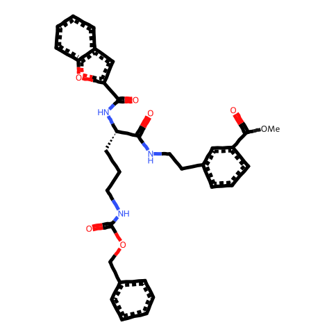 COC(=O)c1cccc(CCNC(=O)[C@H](CCCNC(=O)OCc2ccccc2)NC(=O)c2cc3ccccc3o2)c1